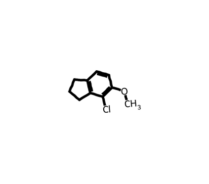 COc1ccc2c(c1Cl)CCC2